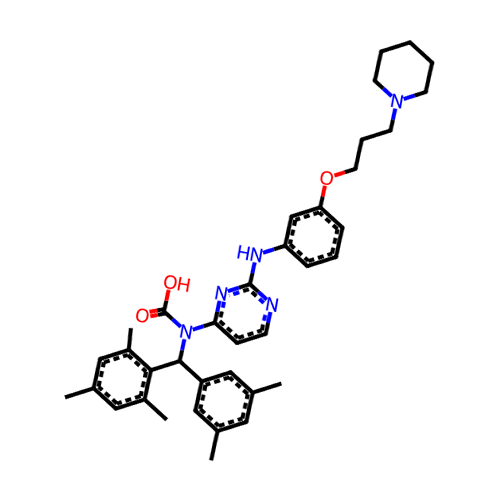 Cc1cc(C)cc(C(c2c(C)cc(C)cc2C)N(C(=O)O)c2ccnc(Nc3cccc(OCCCN4CCCCC4)c3)n2)c1